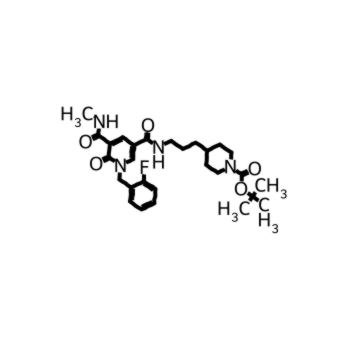 CNC(=O)c1cc(C(=O)NCCCC2CCN(C(=O)OC(C)(C)C)CC2)cn(Cc2ccccc2F)c1=O